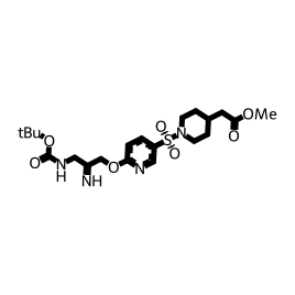 COC(=O)CC1CCN(S(=O)(=O)c2ccc(OCC(=N)CNC(=O)OC(C)(C)C)nc2)CC1